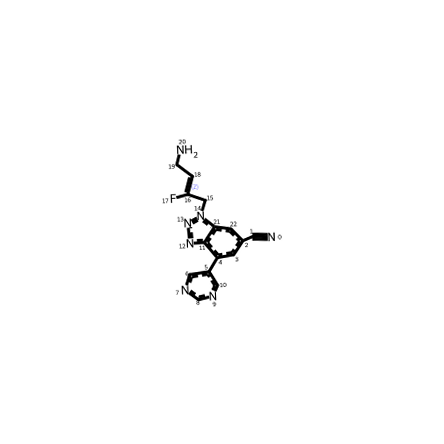 N#Cc1cc(-c2cncnc2)c2nnn(C/C(F)=C/CN)c2c1